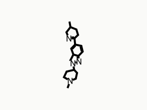 CC1CCC(C2=CC3CN(C4CCN(C)CC4)N=C3C=C2)=NC1